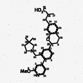 COc1cc(-c2ccc([C@@H]3CCc4ccc(CC(C)C(=O)O)cc4O3)cc2CN2CCC(C)(C)C2)ccn1